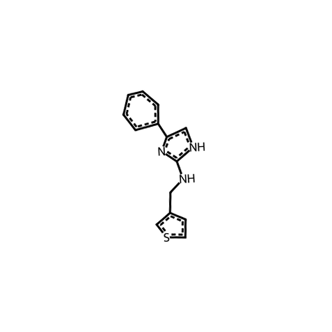 c1ccc(-c2c[nH]c(NCc3ccsc3)n2)cc1